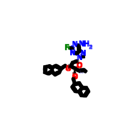 C/C=C/[C@]1(COCc2ccc3ccccc3c2)O[C@@H](n2cnc3c(N)nc(F)nc32)C[C@@H]1OCc1ccc2ccccc2c1